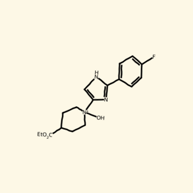 CCOC(=O)C1CC[N+](O)(c2c[nH]c(-c3ccc(F)cc3)n2)CC1